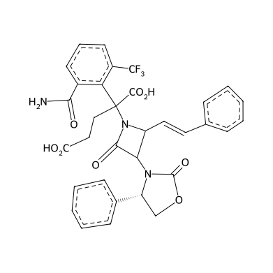 NC(=O)c1cccc(C(F)(F)F)c1C(CCC(=O)O)(C(=O)O)N1C(=O)C(N2C(=O)OC[C@@H]2c2ccccc2)C1C=Cc1ccccc1